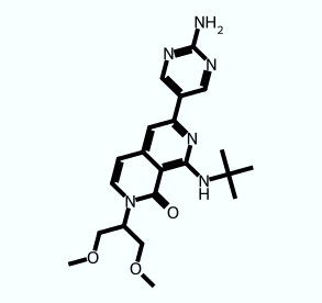 COCC(COC)n1ccc2cc(-c3cnc(N)nc3)nc(NC(C)(C)C)c2c1=O